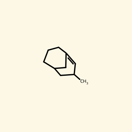 CC1C=C2CCCC(C2)C1